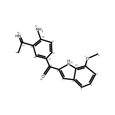 COc1cccc2cc(C(=O)c3ccc(N)c(C(C)=N)c3)[nH]c12